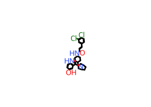 O=C(/C=C/c1ccc(Cl)c(Cl)c1)NC1CCC(CN2C3CCC2CC(c2c[nH]c4ccc(O)cc24)C3)CC1